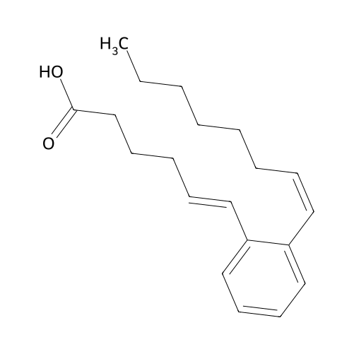 CCCCCC/C=C\c1ccccc1/C=C/CCCC(=O)O